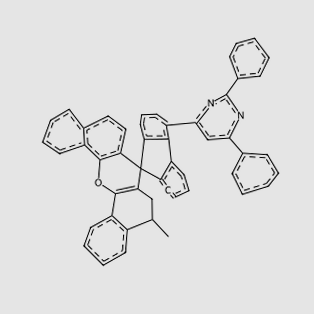 CC1CC2=C(Oc3c(ccc4ccccc34)C23c2ccccc2-c2c(-c4cc(-c5ccccc5)nc(-c5ccccc5)n4)cccc23)c2ccccc21